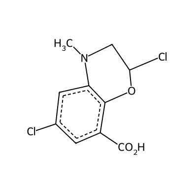 CN1CC(Cl)Oc2c(C(=O)O)cc(Cl)cc21